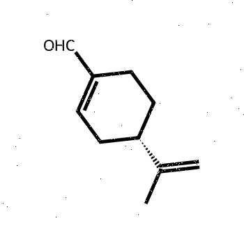 C=C(C)[C@@H]1CC=C(C=O)CC1